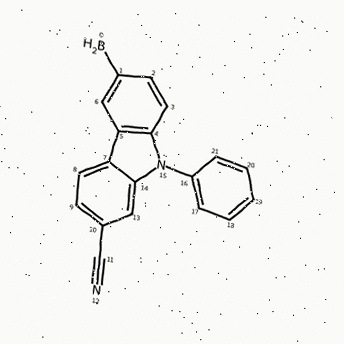 Bc1ccc2c(c1)c1ccc(C#N)cc1n2-c1ccccc1